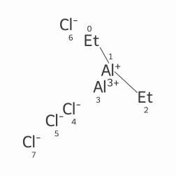 C[CH2][Al+][CH2]C.[Al+3].[Cl-].[Cl-].[Cl-].[Cl-]